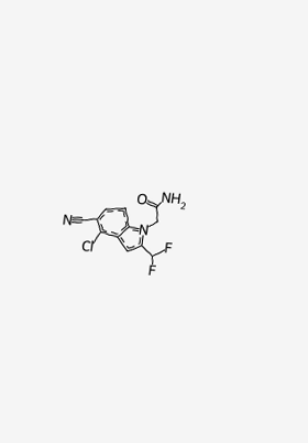 N#Cc1ccc2c(cc(C(F)F)n2CC(N)=O)c1Cl